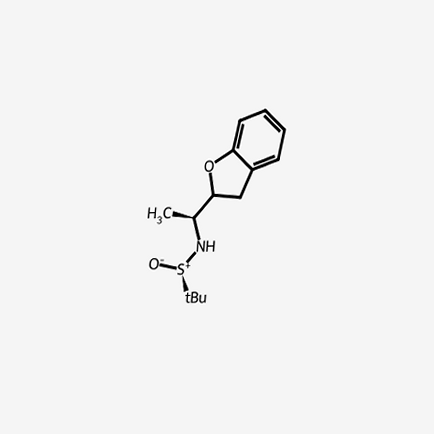 C[C@H](N[S@+]([O-])C(C)(C)C)C1Cc2ccccc2O1